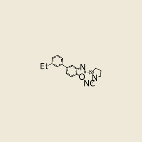 CCc1cccc(-c2ccc3oc([C@@H]4CCCN4C#N)nc3c2)c1